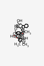 COc1c(C)cc2c(c1O)[C@H]1[C@@H]3[C@@H]4SC[C@]5(NC(CO)=Cc6c5[nH]c5ccccc65)C(=O)OCC(c5c6c(c(C)c(OC(C)=O)c54)OCO6)N3C(O)(C2)CN1C